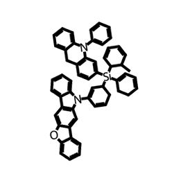 CC1C=CC=CC1[Si](C1=CC=CCC1)(c1ccc2c(c1)N(c1ccccc1)c1ccccc1C2)C1C=C(n2c3ccccc3c3cc4oc5ccccc5c4cc32)C=CC1